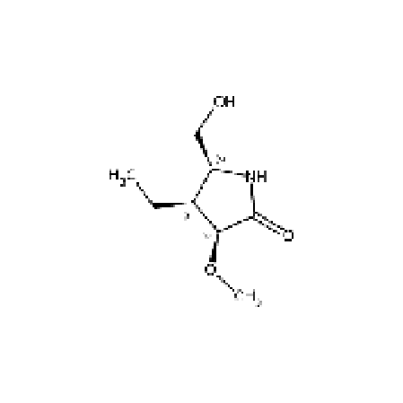 CC[C@@H]1[C@H](OC)C(=O)N[C@@H]1CO